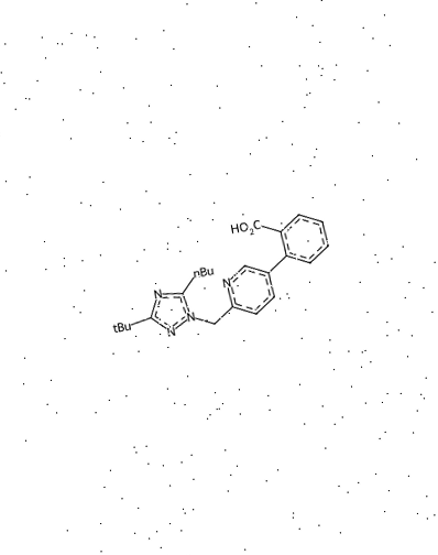 CCCCc1nc(C(C)(C)C)nn1Cc1ccc(-c2ccccc2C(=O)O)cn1